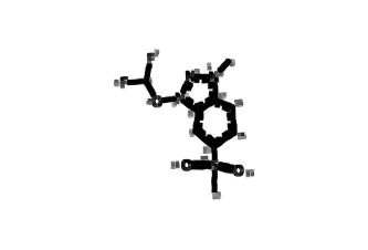 C[n+]1nn(OC(F)F)c2cc(S(C)(=O)=O)ccc21